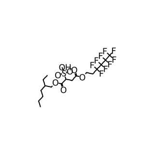 CCCCC(CC)COC(=O)C(CC(=O)OCCC(F)(F)C(F)(F)C(F)(F)C(F)(F)F)S(=O)(=O)O